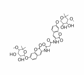 CO[C@@H]1[C@@H](O)[C@@H](O)[C@H](Oc2ccc3cc(NC(=O)CC(=O)Nc4cc5ccc(O[C@@H]6OC(C)(C)[C@H](OC)[C@@H](O)[C@H]6O)cc5oc4=O)c(=O)oc3c2)OC1(C)C